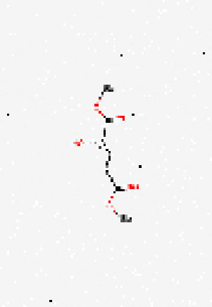 CC(C)(C)OC(=O)CC[C@H](O)C(=O)OC(C)(C)C